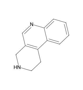 c1ccc2c3c(cnc2c1)CNCC3